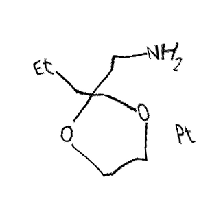 CCC1(CN)OCCO1.[Pt]